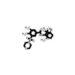 Cc1cc(C(=O)NC2C(C)(C)[C@@H]3CC[C@@]2(C)C3)cc(S(=O)(=O)N2CCOCC2)c1C